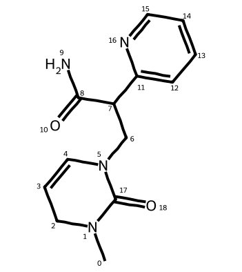 CN1CC=CN(CC(C(N)=O)c2ccccn2)C1=O